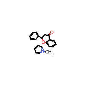 CN1C=CC=CC1.O=C1CC(c2ccccc2)Oc2ccccc21